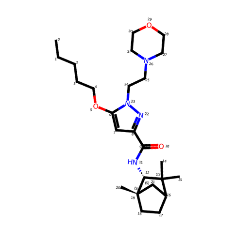 CCCCCOc1cc(C(=O)N[C@@H]2C(C)(C)C3CC[C@@]2(C)C3)nn1CCN1CCOCC1